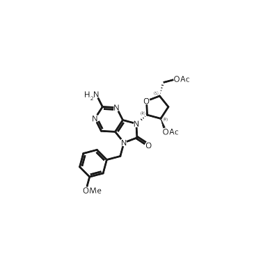 COc1cccc(Cn2c(=O)n([C@@H]3O[C@H](COC(C)=O)C[C@H]3OC(C)=O)c3nc(N)ncc32)c1